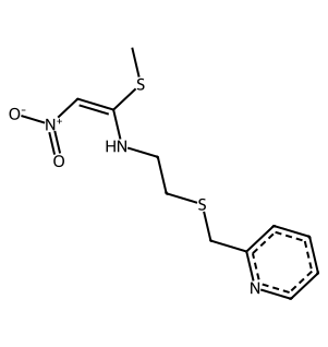 CS/C(=C/[N+](=O)[O-])NCCSCc1ccccn1